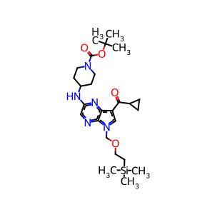 CC(C)(C)OC(=O)N1CCC(Nc2cnc3c(n2)c(C(=O)C2CC2)cn3COCC[Si](C)(C)C)CC1